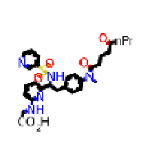 CCCC(=O)CCCC(=O)N(C)c1ccc(CC(NS(=O)(=O)c2cccnc2)c2cccc(NCC(=O)O)n2)cc1